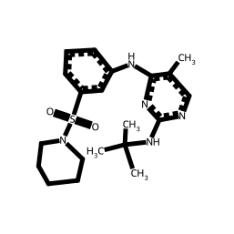 Cc1cnc(NC(C)(C)C)nc1Nc1cccc(S(=O)(=O)N2CCCCC2)c1